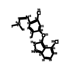 Cc1cc(/N=C\N(C)C)c(Cl)cc1Oc1snc2cccc(Cl)c12